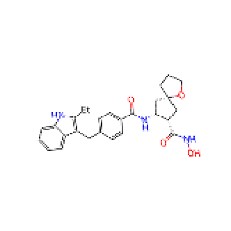 CCc1[nH]c2ccccc2c1Cc1ccc(C(=O)N[C@@H]2C[C@@]3(CCCO3)C[C@@H]2C(=O)NO)cc1